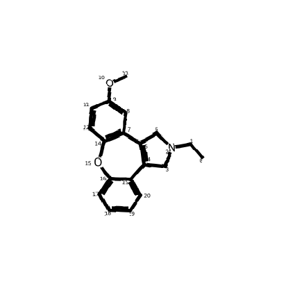 CCN1CC2=C(C1)c1cc(OC)ccc1Oc1ccccc12